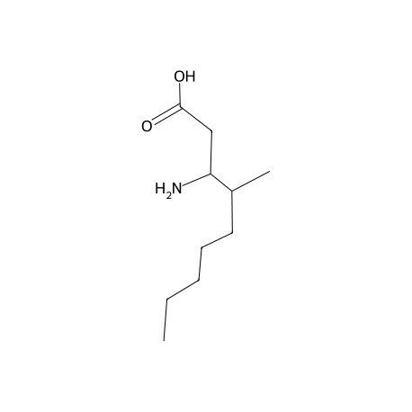 CCCCCC(C)C(N)CC(=O)O